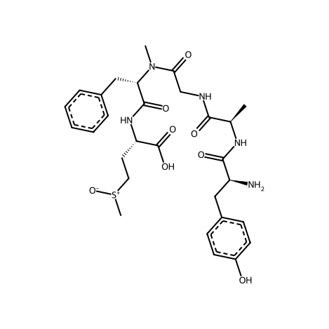 C[C@@H](NC(=O)[C@@H](N)Cc1ccc(O)cc1)C(=O)NCC(=O)N(C)[C@@H](Cc1ccccc1)C(=O)N[C@@H](CC[S+](C)[O-])C(=O)O